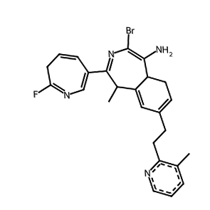 Cc1cccnc1CCC1=CCC2C(=C1)C(C)C(C1=CN=C(F)CC=C1)=NC(Br)=C2N